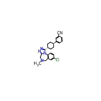 CN1Cc2cc(Cl)ccc2-n2c(nnc2[C@H]2CC[C@H](c3cccc(C#N)c3)CC2)C1